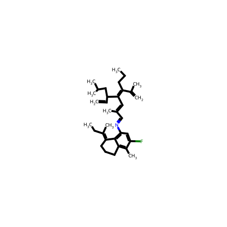 C=CC(CC(C)C)C(/C=C(C)/C=N/c1cc(F)c(C)c2c1/C(=C(\C)CC)CCC2)=C(\CCC)C(=C)C